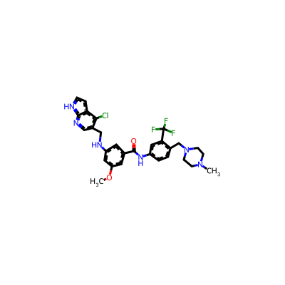 COc1cc(NCc2cnc3[nH]ccc3c2Cl)cc(C(=O)Nc2ccc(CN3CCN(C)CC3)c(C(F)(F)F)c2)c1